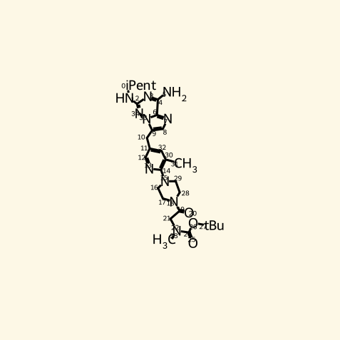 CCCC(C)Nc1nc(N)c2ncc(Cc3cnc(N4CCN(C(=O)CN(C)C(=O)OC(C)(C)C)CC4)c(C)c3)n2n1